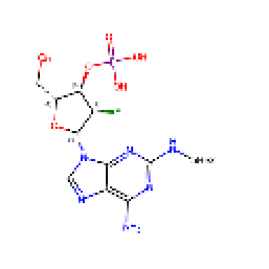 CCCCCCNc1nc(N)c2ncn([C@@H]3O[C@H](CO)[C@@H](OP(=O)(O)O)[C@H]3F)c2n1